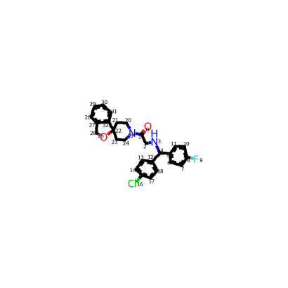 O=C(CNC(c1ccc(F)cc1)c1ccc(Cl)cc1)N1CCC2(CC1)OCc1ccccc12